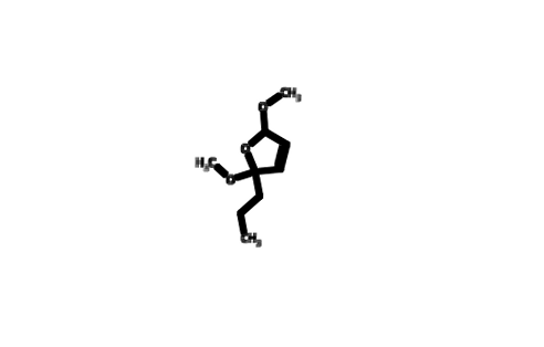 CCCC1(OC)C=CC(OC)O1